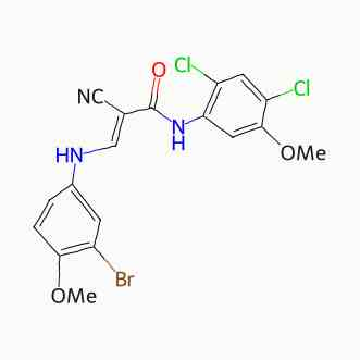 COc1cc(NC(=O)C(C#N)=CNc2ccc(OC)c(Br)c2)c(Cl)cc1Cl